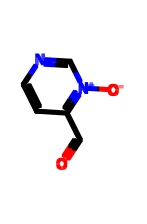 O=Cc1ccnc[n+]1[O-]